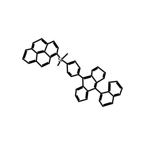 C[Si](C)(c1ccc(-c2c3ccccc3c(-c3cccc4ccccc34)c3ccccc23)cc1)c1ccc2ccc3cccc4ccc1c2c34